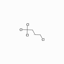 ClC[CH]CC(Cl)(Cl)Cl